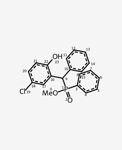 COP(=O)(c1ccccc1)C(c1ccccc1)c1cc(Cl)ccc1O